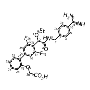 CCOC(C(=O)NCc1ccc(C(=N)N)cc1)c1c(F)cc(-c2ccccc2OCC(=O)O)cc1F